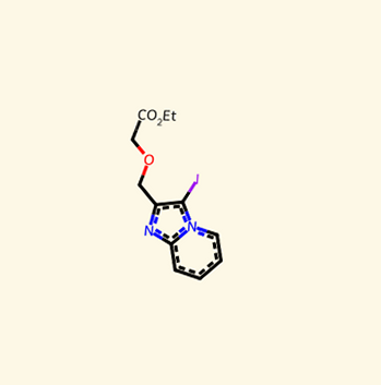 CCOC(=O)COCc1nc2ccccn2c1I